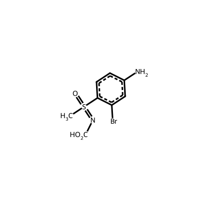 CS(=O)(=NC(=O)O)c1ccc(N)cc1Br